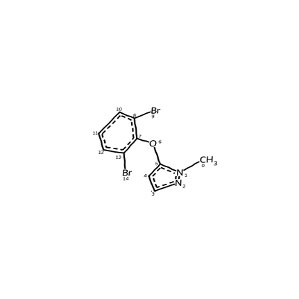 Cn1n[c]cc1Oc1c(Br)cccc1Br